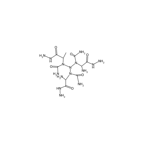 CC(C(=O)NN)N(C(N)=O)N(N(C(N)=O)C(N)C(=O)NN)N(C(N)=O)C(N)C(=O)NN